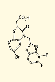 O=C(O)CC1Sc2ccc(Br)cc2N(Cc2nc3c(F)c(F)ccc3s2)C1=O